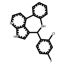 Fc1ccc(C2Nc3ccccc3-c3ccnc4[nH]cc2c34)c(Cl)c1